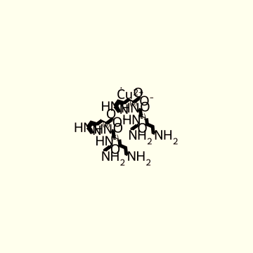 NCCCC[C@H](NC(=O)CN)C(=O)N[C@@H](Cc1c[nH]cn1)C(=O)[O-].NCCCC[C@H](NC(=O)CN)C(=O)N[C@@H](Cc1c[nH]cn1)C(=O)[O-].[Cu+2]